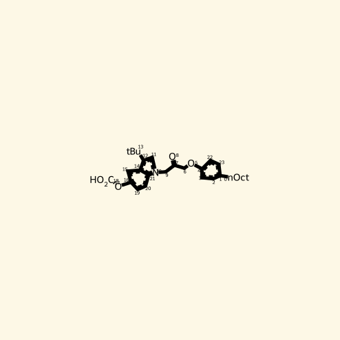 CCCCCCCCc1ccc(OCC(=O)Cn2cc(C(C)(C)C)c3cc(OC(=O)O)ccc32)cc1